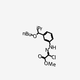 CCCCOC(c1cccc(NN=C(Cl)C(=O)OC)c1)C(C)C